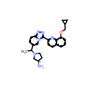 CC(c1ccc2nnc(-c3ccc4cccc(OCC5CC5)c4n3)n2c1)N1CC[C@@H](N)C1